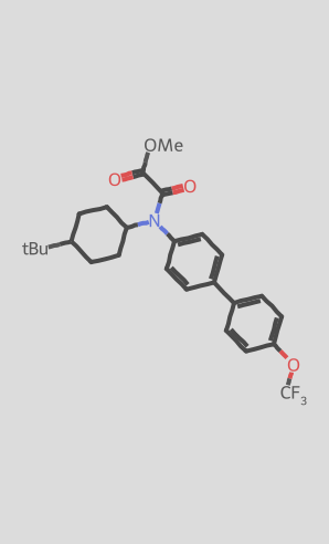 COC(=O)C(=O)N(c1ccc(-c2ccc(OC(F)(F)F)cc2)cc1)C1CCC(C(C)(C)C)CC1